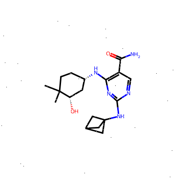 CC1(C)CC[C@H](Nc2nc(NC34CC(C3)C4)ncc2C(N)=O)C[C@@H]1O